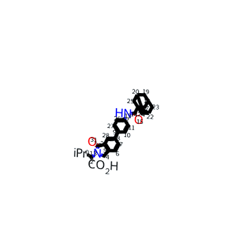 CC(C)C(C(=O)O)N1Cc2ccc(-c3ccc(NC(=O)C45CC6CC(CC(C6)C4)C5)cc3)cc2C1=O